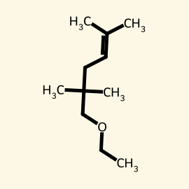 CCOCC(C)(C)CC=C(C)C